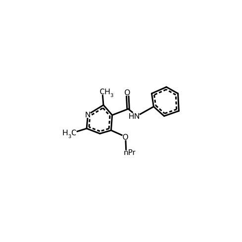 CCCOc1cc(C)nc(C)c1C(=O)Nc1ccccc1